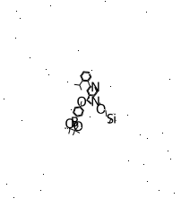 CC(C)c1ccccc1-c1cc2c(Oc3ccc(B4OC(C)(C)C(C)(C)O4)cc3)cn(COCC[Si](C)(C)C)c2cn1